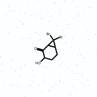 O=C1C(O)CCC2C1C2(Br)Br